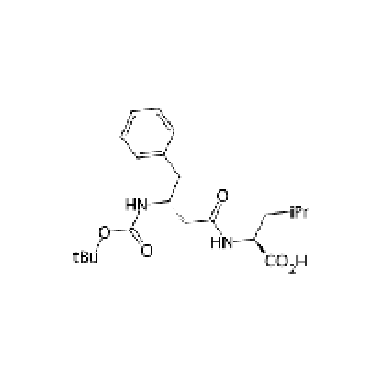 CC(C)C[C@H](NC(=O)C[C@@H](Cc1ccccc1)NC(=O)OC(C)(C)C)C(=O)O